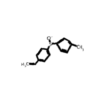 C=Cc1ccc([S+]([O-])c2ccc(C)cc2)cc1